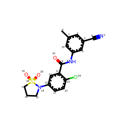 Cc1cc(C#N)cc(NC(=O)c2cc(N3CCCS3(=O)=O)ccc2Cl)c1